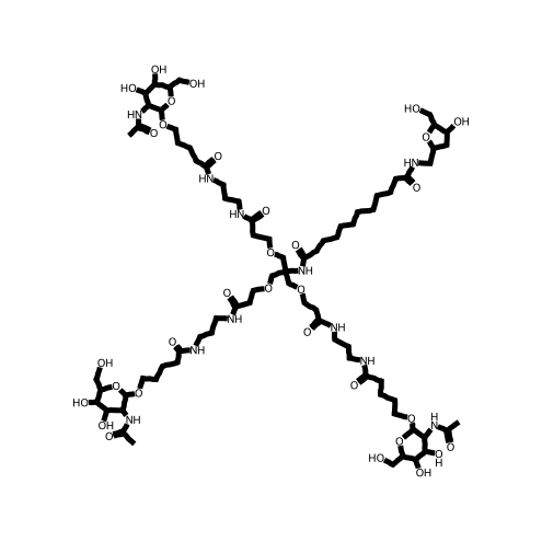 CC(=O)NC1C(OCCCCC(=O)NCCCNC(=O)CCOCC(COCCC(=O)NCCCNC(=O)CCCCOC2OC(CO)C(O)C(O)C2NC(C)=O)(COCCC(=O)NCCCNC(=O)CCCCOC2OC(CO)C(O)C(O)C2NC(C)=O)NC(=O)CCCCCCCCCCC(=O)NCC2CC(O)C(CO)O2)OC(CO)C(O)C1O